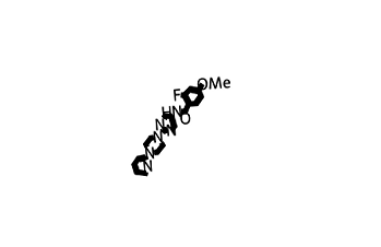 COc1ccc(C(=O)Nc2cnc(N3CCN(c4ccccn4)CC3)nc2)c(F)c1